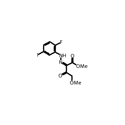 COCC(=O)C(=NNc1cc(I)ccc1F)C(=O)OC